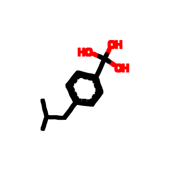 CC(C)Cc1ccc(C(O)(O)O)cc1